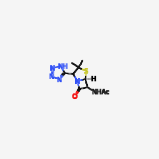 CC(=O)NC1C(=O)N2C(c3nnn[nH]3)C(C)(C)S[C@@H]12